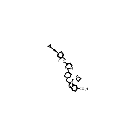 O=C(O)c1ccc2nc(CN3CC=C(c4nccc(OCc5ccc(C#CC6CC6)cc5F)n4)CC3)n(C[C@@H]3CCO3)c2c1